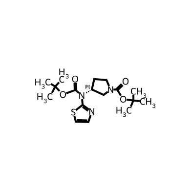 CC(C)(C)OC(=O)N1CC[C@@H](N(C(=O)OC(C)(C)C)c2nccs2)C1